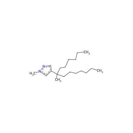 CCCCCCCC(C)(CCCCCC)c1cnn(C)c1